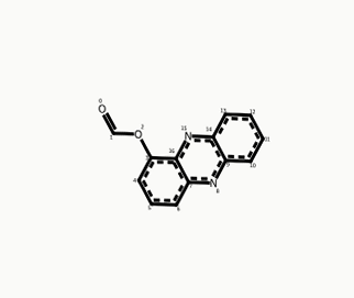 O=COc1cccc2nc3ccccc3nc12